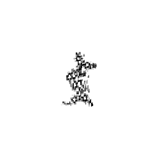 CCOc1ccc(S(=O)(=O)N(CC(=O)NC(CC(c2ccccc2)C(C(N)=O)C2Cc3ccccc3CN2C(=O)CN(c2ccc(C)cc2)S(=O)(=O)c2ccc(OCC)cc2)C(N)=O)c2ccc(OC)cc2)cc1